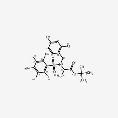 C[C@H](C(=O)OC(C)(C)C)N(Cc1ccc(F)cc1Cl)S(=O)(=O)c1c(F)c(F)c(F)c(F)c1F